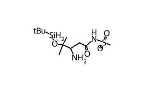 CC(C)(C)[SiH2]OC(C)(C)C(N)CC(=O)NS(C)(=O)=O